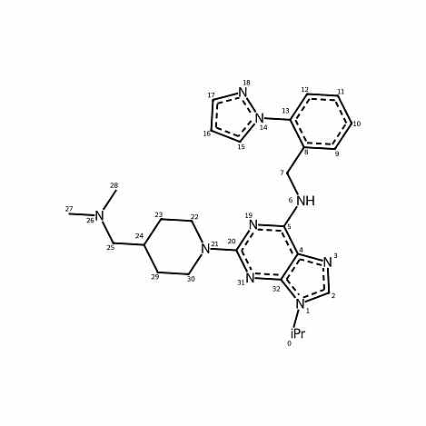 CC(C)n1cnc2c(NCc3ccccc3-n3cccn3)nc(N3CCC(CN(C)C)CC3)nc21